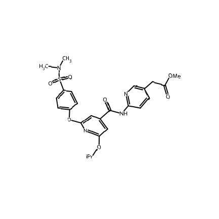 COC(=O)Cc1ccc(NC(=O)c2cc(Oc3ccc(S(=O)(=O)N(C)C)cc3)nc(OC(C)C)c2)nc1